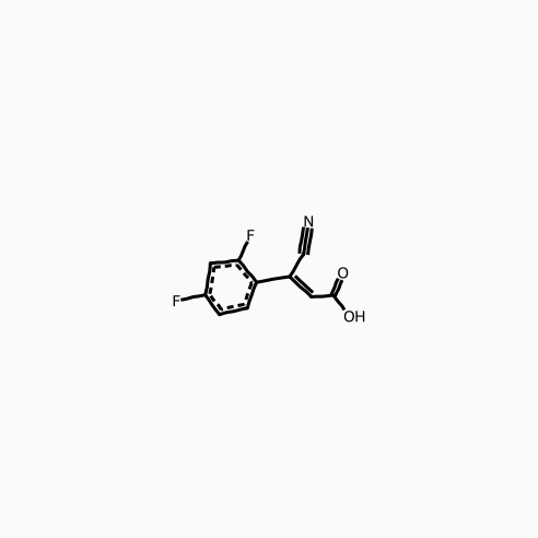 N#CC(=CC(=O)O)c1ccc(F)cc1F